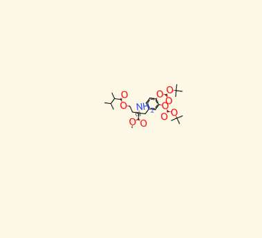 COC(=O)[C@@](N)(CCOC(=O)C(C)C(C)C)Cc1ccc(OC(=O)OC(C)(C)C)c(OC(=O)OC(C)(C)C)c1